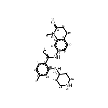 Cc1ccc(C(=O)Nc2ccc3c(c2)N(C)C(=O)CC3)c(NC2CCNCC2)c1